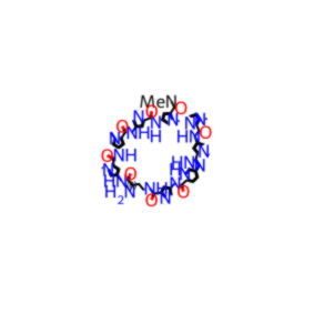 CNC(=O)c1cc(NC(=O)c2cc(NC(=O)c3cc(NC(=O)c4cc(NC(=O)[C@H](N)CCNC(=O)c5cc(NC(=O)c6ccc7nc(-c8cc(NC(=O)c9nccn9C)cn8C)[nH]c7n6)cn5C)cn4C)cn3C)cn2C)cn1C